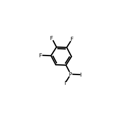 Fc1cc(P(I)I)cc(F)c1F